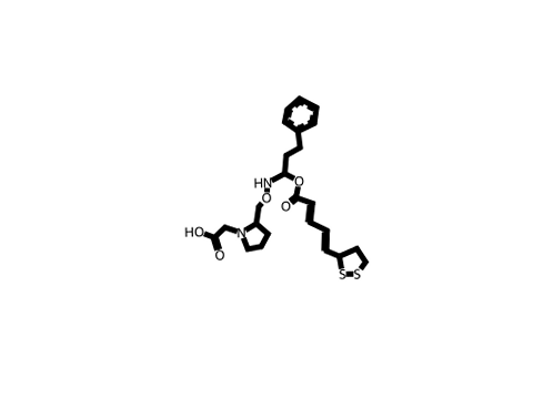 O=C(O)CN1CCCC1CONC(CCc1ccccc1)OC(=O)/C=C/C=C/C1CCSS1